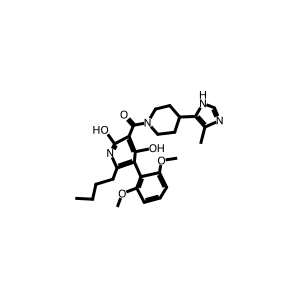 CCCCc1nc(O)c(C(=O)N2CCC(c3[nH]cnc3C)CC2)c(O)c1-c1c(OC)cccc1OC